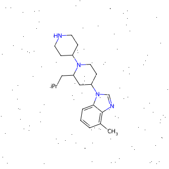 Cc1cccc2c1ncn2C1CCN(C2CCNCC2)C(CC(C)C)C1